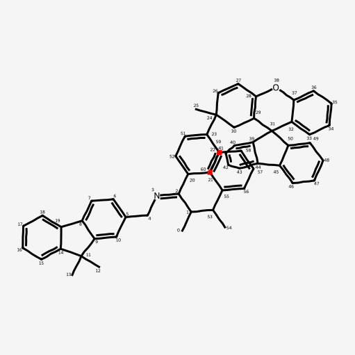 CC(/C(=N\Cc1ccc2c(c1)C(C)(C)c1ccccc1-2)c1ccc(C2(C)C=CC3=C(C2)C2(c4ccccc4O3)c3ccccc3-c3ccccc32)cc1)C(C)c1ccccc1